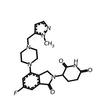 Cn1nccc1CN1CCN(c2cc(F)cc3c2CN(C2CCC(=O)NC2=O)C3=O)CC1